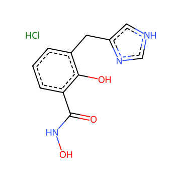 Cl.O=C(NO)c1cccc(Cc2c[nH]cn2)c1O